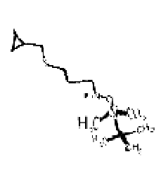 CC(C)(C)[Si](C)(C)ONCCCSCC1CC1